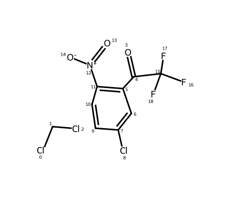 ClCCl.O=C(c1cc(Cl)ccc1[N+](=O)[O-])C(F)(F)F